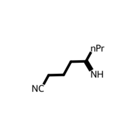 CCCC(=N)CCCC#N